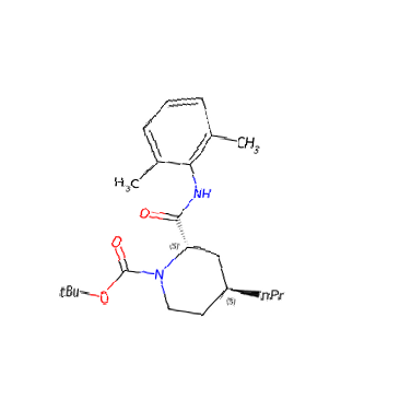 CCC[C@H]1CCN(C(=O)OC(C)(C)C)[C@H](C(=O)Nc2c(C)cccc2C)C1